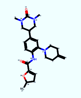 C=C1CCN(c2cc(C3CN(C)C(=O)N(C)C3)ccc2NC(=O)C2=CCC(C#N)O2)CC1